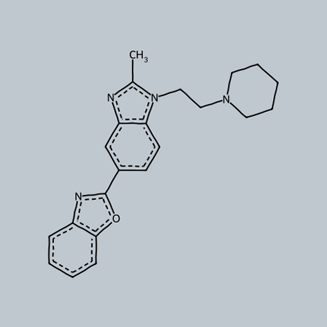 Cc1nc2cc(-c3nc4ccccc4o3)ccc2n1CCN1CCCCC1